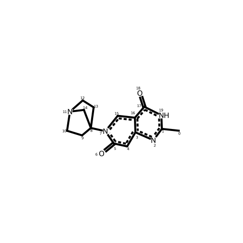 Cc1nc2cc(=O)n(C34CCN(CC3)C4)cc2c(=O)[nH]1